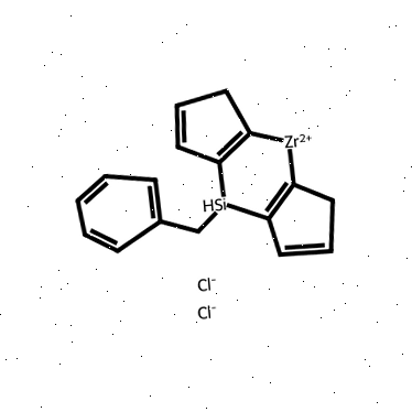 C1=CC2=[C](C1)[Zr+2][C]1=C(C=CC1)[SiH]2Cc1ccccc1.[Cl-].[Cl-]